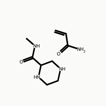 C=CC(N)=O.CNC(=O)C1CNCCN1